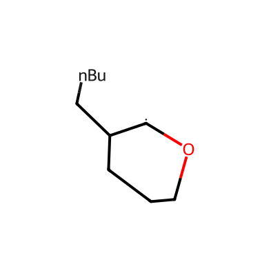 CCCCCC1[CH]OCCC1